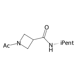 CCC[C@@H](C)NC(=O)C1CN(C(C)=O)C1